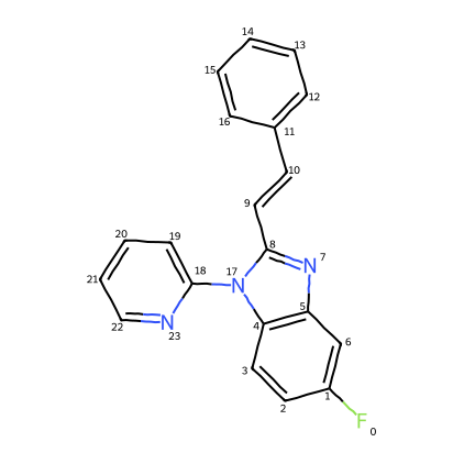 Fc1ccc2c(c1)nc(C=Cc1ccccc1)n2-c1ccccn1